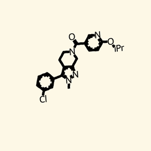 CC(C)Oc1ccc(C(=O)N2CCc3c(nn(C)c3-c3cccc(Cl)c3)C2)cn1